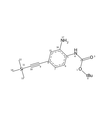 CC(C)(C)OC(=O)Nc1ccc(C#C[Si](C)(C)C)cc1N